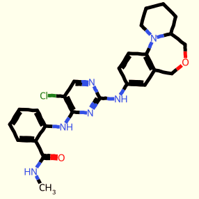 CNC(=O)c1ccccc1Nc1nc(Nc2ccc3c(c2)COCC2CCCCN32)ncc1Cl